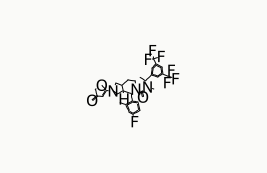 Cc1cc(F)ccc1C1[C@@H]2CN(C3=CC(=O)CO3)CC2CCN1C(=O)N(C)C(C)c1cc(C(F)(F)F)cc(C(F)(F)F)c1